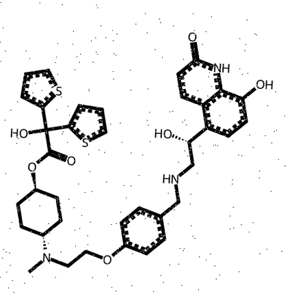 CN(CCOc1ccc(CNC[C@H](O)c2ccc(O)c3[nH]c(=O)ccc23)cc1)[C@H]1CC[C@H](OC(=O)C(O)(c2cccs2)c2cccs2)CC1